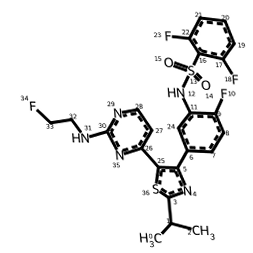 CC(C)c1nc(-c2ccc(F)c(NS(=O)(=O)c3c(F)cccc3F)c2)c(-c2ccnc(NCCF)n2)s1